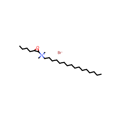 CCCCCCCCCCCCCCCC[N+](C)(C)C1OC1CCCC.[Br-]